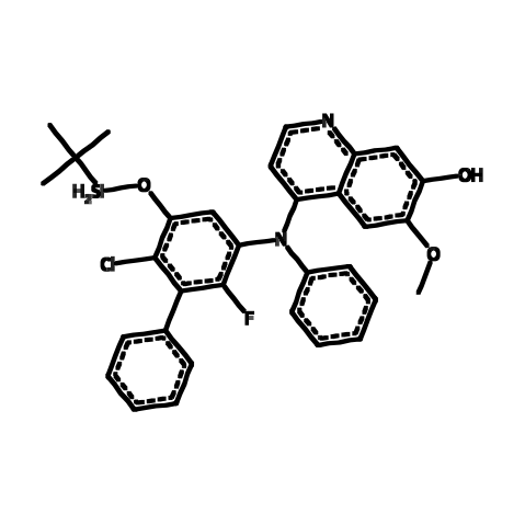 COc1cc2c(N(c3ccccc3)c3cc(O[SiH2]C(C)(C)C)c(Cl)c(-c4ccccc4)c3F)ccnc2cc1O